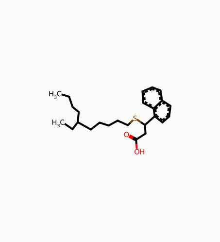 CCCCC(CC)CCCCCSC(CC(=O)O)c1cccc2ccccc12